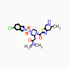 CC1Cc2nc(C(=O)N3CCN(S(=O)(=O)n4cc5ccc(Cl)cc5c4)CC3CC(=O)N(C)C)sc2CN1